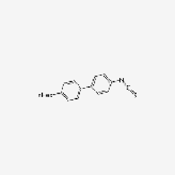 CCCCCCc1ccc(-c2ccc(N=C=S)cc2)cc1